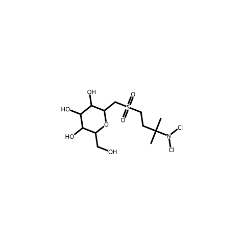 CC(C)(CCS(=O)(=O)CC1OC(CO)C(O)C(O)C1O)N(Cl)Cl